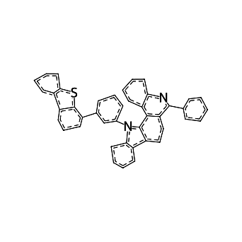 c1ccc(-c2nc3ccccc3c3c2ccc2c4ccccc4n(-c4cccc(-c5cccc6c5sc5ccccc56)c4)c23)cc1